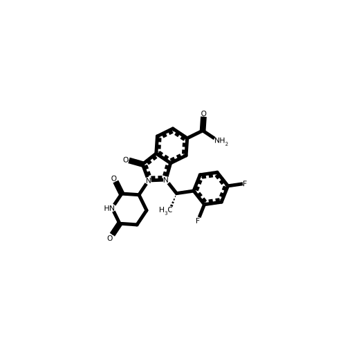 C[C@@H](c1ccc(F)cc1F)n1c2cc(C(N)=O)ccc2c(=O)n1C1CCC(=O)NC1=O